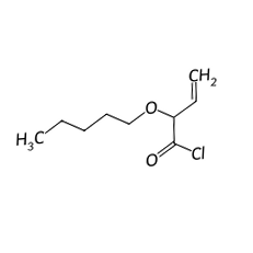 C=CC(OCCCCC)C(=O)Cl